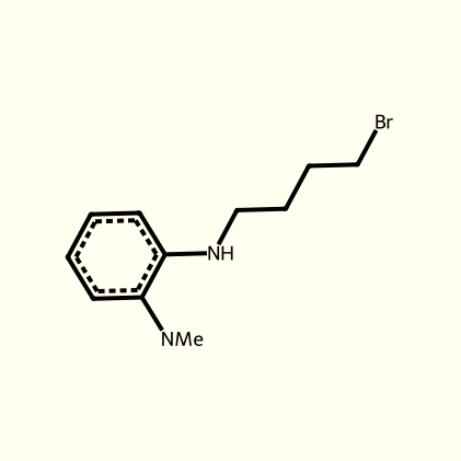 CNc1ccccc1NCCCCBr